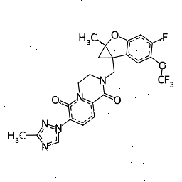 Cc1ncn(-c2ccc3n(c2=O)CCN(CC24CC2(C)Oc2cc(F)c(OC(F)(F)F)cc24)C3=O)n1